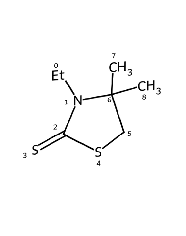 CCN1C(=S)SCC1(C)C